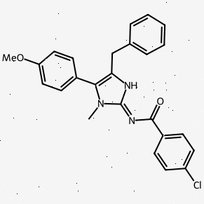 COc1ccc(-c2c(Cc3ccccc3)[nH]/c(=N\C(=O)c3ccc(Cl)cc3)n2C)cc1